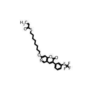 C=CC(=O)SCCCCCCCCOc1cc2oc(=O)c(-c3cccc(SC(F)(F)F)c3)cc2cn1